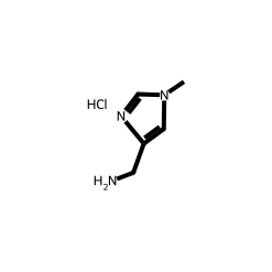 Cl.Cn1cnc(CN)c1